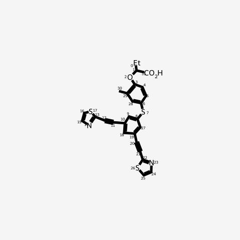 CCC(Oc1ccc(Sc2cc(C#Cc3nccs3)cc(C#Cc3nccs3)c2)cc1C)C(=O)O